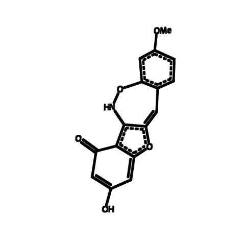 COc1ccc2c(c1)ONc1c3c(oc1=C2)=CC(O)=CC3=O